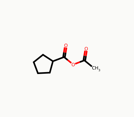 CC(=O)OC(=O)C1CCCC1